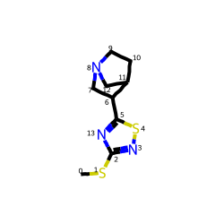 CSc1nsc(C2CN3CCC2C3)n1